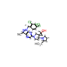 C[C@H](c1ccc(Cl)cc1Cl)n1nc(C#N)c2ncc(N3CC[C@H](N4CCC[C@H]4C(=O)O)[C@H](C(C)(C)O)C3)nc21.Cl